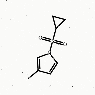 Cc1ccn(S(=O)(=O)C2CC2)c1